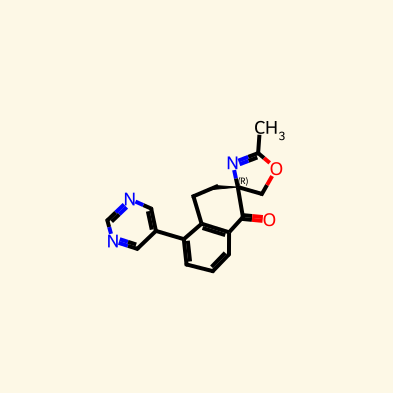 CC1=N[C@]2(CCc3c(cccc3-c3cncnc3)C2=O)CO1